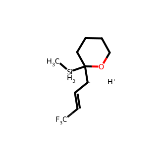 C[SiH2]C1([CH]C=CC(F)(F)F)CCCCO1.[H+]